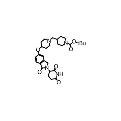 CC(C)(C)OC(=O)N1CCC(CN2CCC(Oc3ccc4c(c3)CN(C3CCC(=O)NC3=O)C4=O)CC2)CC1